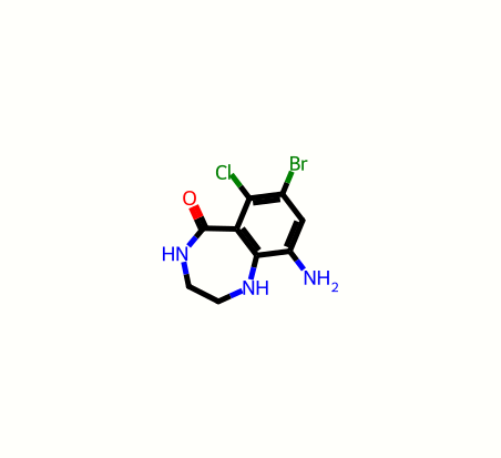 Nc1cc(Br)c(Cl)c2c1NCCNC2=O